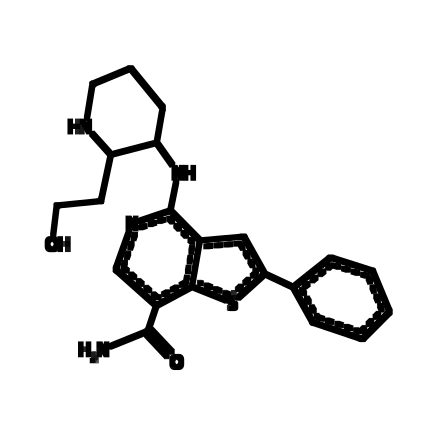 NC(=O)c1cnc(NC2CCCNC2CCO)c2cc(-c3ccccc3)sc12